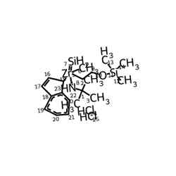 CC(C)(C)[NH][Zr]([CH3])(=[SiH2])([CH2]CO[Si](C)(C)C)[CH]1C=Cc2ccccc21.Cl.Cl